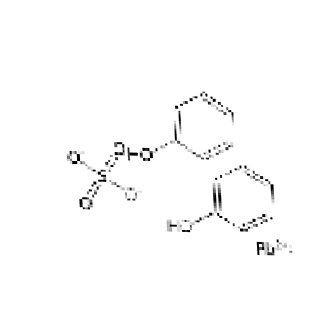 O=S(=O)([O-])[O-].Oc1ccccc1.Oc1ccccc1.[Pb+2]